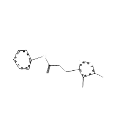 Cc1onc(CCC(=O)Nc2ccccc2)c1C